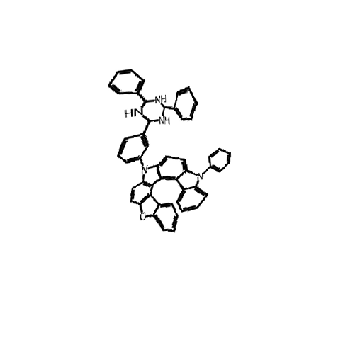 c1ccc(C2NC(c3ccccc3)NC(c3cccc(-n4c5ccc6oc7ccccc7c6c5c5c6c7ccccc7n(-c7ccccc7)c6ccc54)c3)N2)cc1